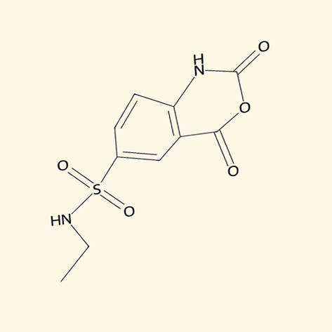 CCNS(=O)(=O)c1ccc2[nH]c(=O)oc(=O)c2c1